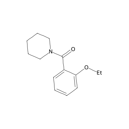 CCOc1ccccc1C(=O)N1CCCCC1